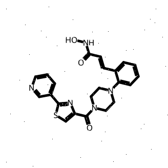 O=C(/C=C/c1ccccc1N1CCN(C(=O)c2csc(-c3cccnc3)n2)CC1)NO